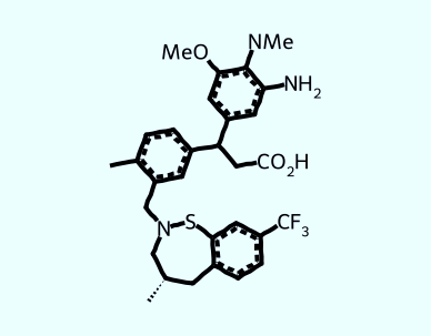 CNc1c(N)cc(C(CC(=O)O)c2ccc(C)c(CN3C[C@@H](C)Cc4ccc(C(F)(F)F)cc4S3)c2)cc1OC